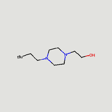 CC(C)(C)CCN1CCN(CCO)CC1